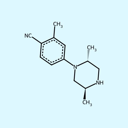 Cc1cc(N2C[C@H](C)NC[C@H]2C)ccc1C#N